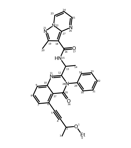 CCOC(C)C#Cc1cccc2nc(C(C)NC(=O)c3c(C)nn4cccnc34)n(-c3ccccc3)c(=O)c12